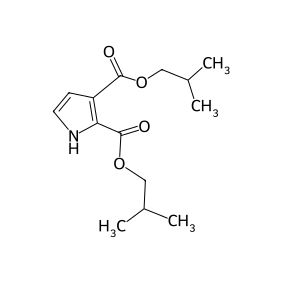 CC(C)COC(=O)c1cc[nH]c1C(=O)OCC(C)C